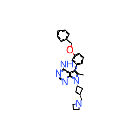 Cc1c(-c2cccc(OCc3ccccc3)c2)c2c(N)ncnc2n1[C@H]1C[C@H](CN2CCC2)C1